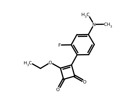 CCOc1c(-c2ccc(N(C)C)cc2F)c(=O)c1=O